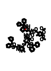 CC(=O)Oc1cc(C)c(C(=O)O/N=C(\C(=O)N[C@@H]2C(=O)N3C(C(=O)OC(c4ccccc4)c4ccccc4)=C(CSc4cc(C)nc5nc(C(=O)OC(c6ccccc6)c6ccccc6)nn45)CS[C@H]23)c2csc(NC(c3ccccc3)(c3ccccc3)c3ccccc3)n2)cc1OC(C)=O